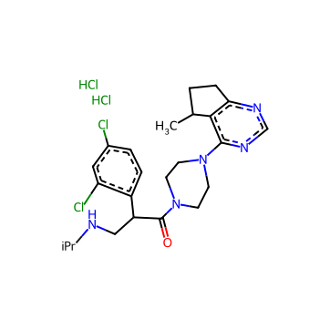 CC(C)NCC(C(=O)N1CCN(c2ncnc3c2C(C)CC3)CC1)c1ccc(Cl)cc1Cl.Cl.Cl